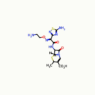 CC1S[C@@H]2C(NC(=O)C(=NOCCN)c3nsc(N)n3)C(=O)N2C=C1C(=O)O